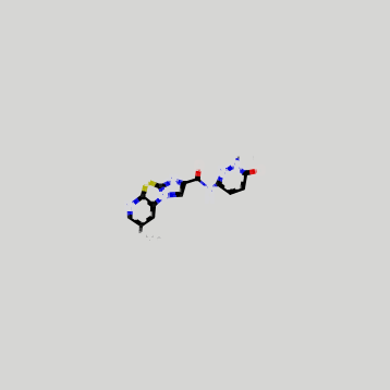 COc1cnc2sc3nc(C(=O)Nc4ccc(=O)n(C)n4)cn3c2c1